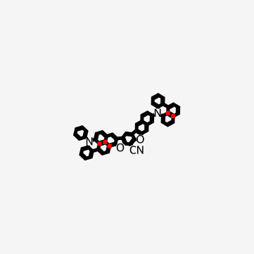 N#Cc1c2oc3cc4cc(N(c5ccccc5)c5ccccc5-c5ccccc5)ccc4cc3c2cc2c1oc1cc3cc(N(c4ccccc4)c4ccccc4-c4ccccc4)ccc3cc12